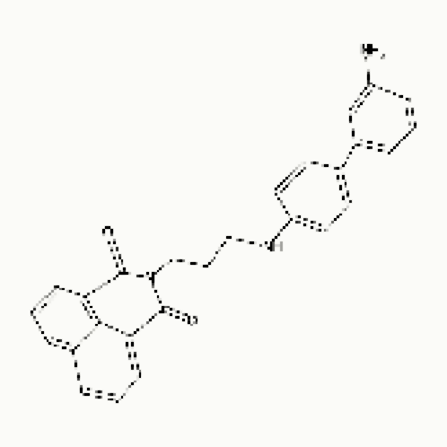 Nc1cccc(-c2ccc(NCCCN3C(=O)c4cccc5cccc(c45)C3=O)cc2)c1